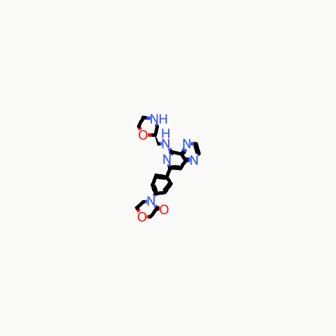 O=C1COCCN1c1ccc(-c2cc3nccnc3c(NC[C@@H]3CNCCO3)n2)cc1